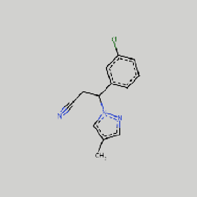 Cc1cnn(C(CC#N)c2cccc(Cl)c2)c1